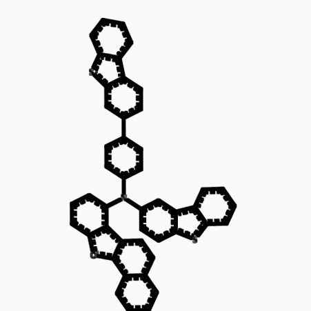 c1ccc2c(c1)ccc1c2oc2cccc(N(c3ccc(-c4ccc5c(c4)sc4ccccc45)cc3)c3ccc4sc5ccccc5c4c3)c21